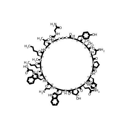 CCCCC[C@H]1C(=O)N[C@@H](CC(C)C)C(=O)N[C@H](C(=O)NCC(N)=O)CSCC(=O)N[C@@H](Cc2ccc(O)cc2)C(=O)N(C)[C@@H](C)C(=O)N[C@@H](CC(N)=O)C(=O)N2CCC[C@H]2C(=O)N[C@@H](Cc2cnc[nH]2)C(=O)N[C@@H](CCC(N)=O)C(=O)N2C[C@H](O)C[C@H]2C(=O)N[C@@H](Cc2c[nH]c3ccccc23)C(=O)N[C@@H](CCN)C(=O)N[C@@H](Cc2cn(CC(=O)O)c3ccccc23)C(=O)N(C)[C@@H](CCCC)C(=O)N1C